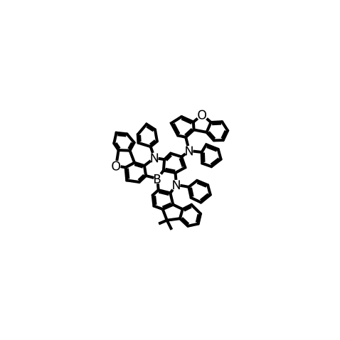 CC1(C)c2ccccc2-c2c1ccc1c2N(c2ccccc2)c2cc(N(c3ccccc3)c3cccc4oc5ccccc5c34)cc3c2B1c1ccc2oc4ccccc4c2c1N3c1ccccc1